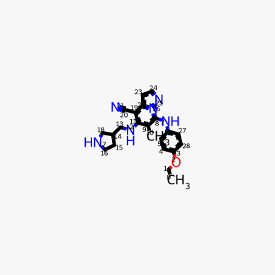 CCOc1ccc(Nc2c(C)c(NCC3CCNC3)c(C#N)c3ccnn23)cc1